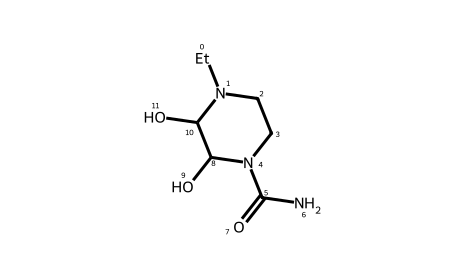 CCN1CCN(C(N)=O)C(O)C1O